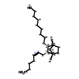 O=C(O)CCC/C=C\C[C@@H]1[C@H](CSCCCCCCO)[C@@H]2CC[C@H]1O2